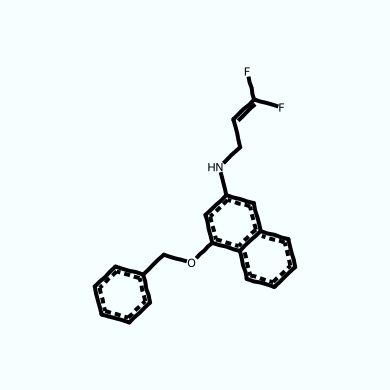 FC(F)=CCNc1cc(OCc2ccccc2)c2ccccc2c1